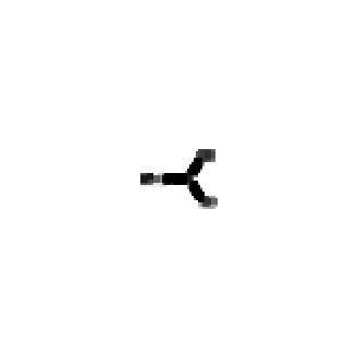 COP(O)N=O